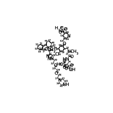 CN(CC(=O)NCC(S(=O)(=O)O)S(=O)(=O)O)Cc1cc(Cl)c(OCC2(OCc3cn(CCOCCOCCN4CCNCC4)nn3)C=CC=C(c3ccccc3)C2(C)C)cc1OCc1cncc(S(C)(=O)=O)c1